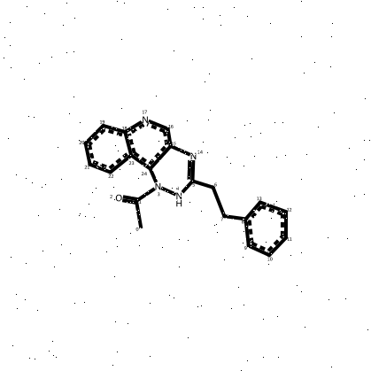 CC(=O)N1NC(CCc2ccccc2)=Nc2cnc3ccccc3c21